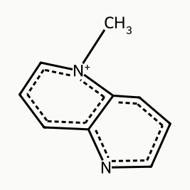 C[n+]1cccc2ncccc21